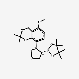 COc1ccc([C@H]2COC[C@H]2B2OC(C)(C)C(C)(C)O2)c2c1COC(C)(C)O2